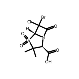 CC1(C)[C@H](C(=O)O)N2C(=O)C(Cl)(Br)[C@H]2S1(=O)=O